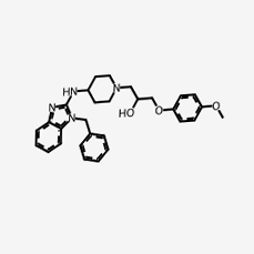 COc1ccc(OCC(O)CN2CCC(Nc3nc4ccccc4n3Cc3ccccc3)CC2)cc1